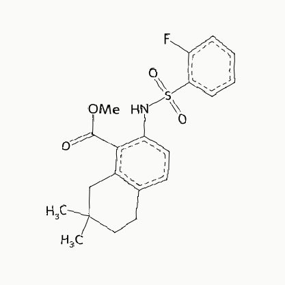 COC(=O)c1c(NS(=O)(=O)c2ccccc2F)ccc2c1CC(C)(C)CC2